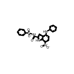 O=C(NS(=O)(=O)c1ccccc1)c1cc2c(Nc3ccccc3)ccc([N+](=O)[O-])c2[nH]1